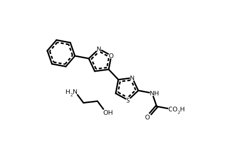 NCCO.O=C(O)C(=O)Nc1nc(-c2cc(-c3ccccc3)no2)cs1